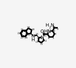 CC(N)C1CCCC(C(=O)N2CCC[C@H]2CN[C@@H]2CCc3ccccc32)N1